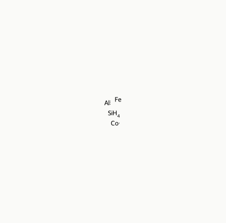 [Al].[Co].[Fe].[SiH4]